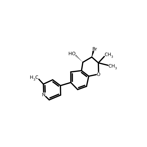 Cc1cc(-c2ccc3c(c2)[C@H](O)[C@@H](Br)C(C)(C)O3)ccn1